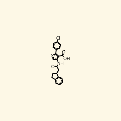 O=C(CC1CCc2ccccc21)Nc1csc(-c2ccc(Cl)cc2)c1C(=O)O